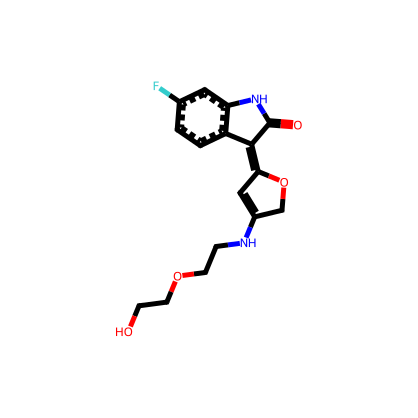 O=C1Nc2cc(F)ccc2/C1=C1\C=C(NCCOCCO)CO1